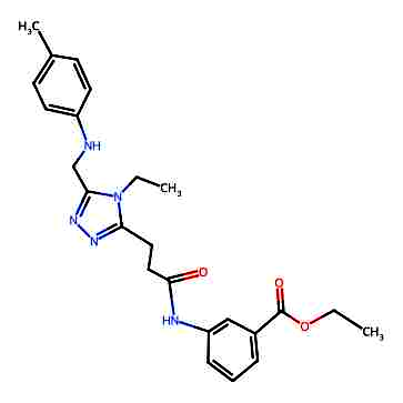 CCOC(=O)c1cccc(NC(=O)CCc2nnc(CNc3ccc(C)cc3)n2CC)c1